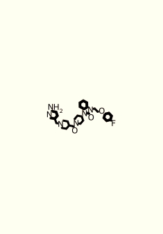 Nc1ccc(CN2CCC(C(=O)N3CCC(n4c(=O)n(CCOc5ccc(F)cc5)c5ccccc54)CC3)CC2)cn1